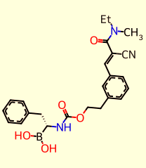 CCN(C)C(=O)/C(C#N)=C/c1cccc(CCOC(=O)N[C@@H](Cc2ccccc2)B(O)O)c1